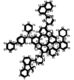 CC1(C)c2ccccc2-c2cccc(-c3ncnc(-c4ccc5c6cc(-c7c(-c8ccccn8)cccc7C7CCCCC7)cc7oc8c(-c9ccnc(-c%10cccc%11ccccc%10%11)n9)ccc(c9cc(N(c%10ccccc%10)c%10ccc(-c%11ccccc%11)cc%10)cc%10oc4c5c%109)c8c76)n3)c21